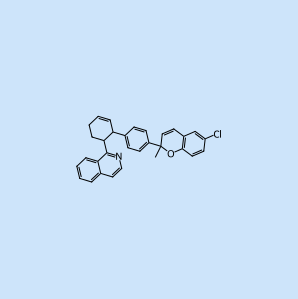 CC1(c2ccc(C3C=CCCC3c3nccc4ccccc34)cc2)C=Cc2cc(Cl)ccc2O1